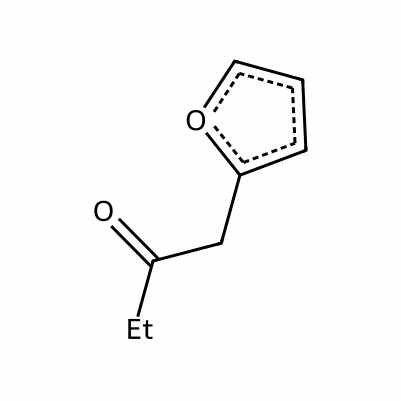 CCC(=O)Cc1ccco1